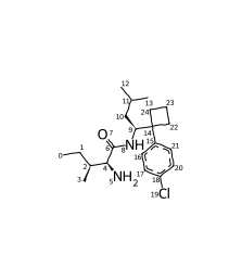 CC[C@H](C)[C@H](N)C(=O)N[C@@H](CC(C)C)C1(c2ccc(Cl)cc2)CCC1